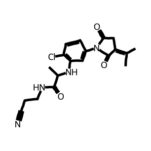 CC(C)=C1CC(=O)N(c2ccc(Cl)c(NC(C)C(=O)NCCC#N)c2)C1=O